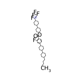 CCCCCC1CCC(C2CCC(c3ccc(C(=O)OC4CCC(C5CCC(/C(F)=C/C(F)(F)F)CC5)CC4)c(F)c3)CC2)CC1